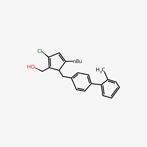 CCCCC1=CC(Cl)=C(CO)C1Cc1ccc(-c2ccccc2C)cc1